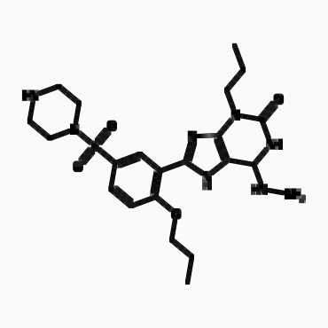 CCCOc1ccc(S(=O)(=O)N2CCNCC2)cc1-c1nc2c([nH]1)C(NN)NC(=O)N2CCC